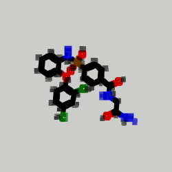 NC(=O)CNC(=O)c1ccc(S(=O)(=O)Nc2ccccc2Oc2ccc(Cl)cc2Cl)cc1